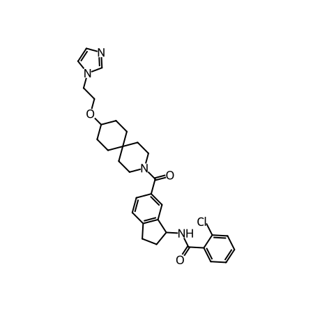 O=C(NC1CCc2ccc(C(=O)N3CCC4(CCC(OCCn5ccnc5)CC4)CC3)cc21)c1ccccc1Cl